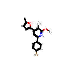 CCOc1nc(-c2ccc(Br)cc2)cc(-c2ccc(C)o2)c1C#N